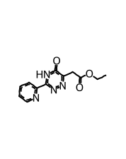 CCOC(=O)Cc1nnc(-c2ccccn2)[nH]c1=O